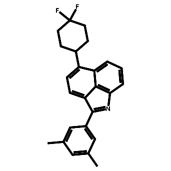 Cc1cc(C)cc(C2=Nc3cccc4c(C5CCC(F)(F)CC5)ccc2c34)c1